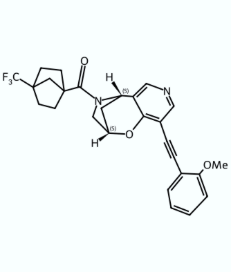 COc1ccccc1C#Cc1cncc2c1O[C@H]1C[C@@H]2N(C(=O)C23CCC(C(F)(F)F)(CC2)C3)C1